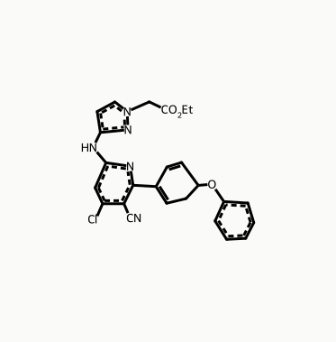 CCOC(=O)Cn1ccc(Nc2cc(Cl)c(C#N)c(C3=CCC(Oc4ccccc4)C=C3)n2)n1